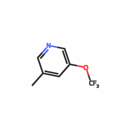 Cc1cncc(OC(F)(F)F)c1